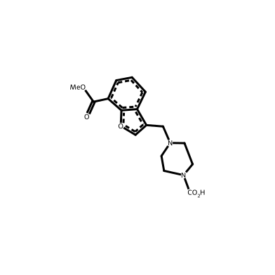 COC(=O)c1cccc2c(CN3CCN(C(=O)O)CC3)coc12